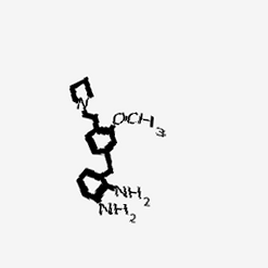 COc1cc(Cc2cccc(N)c2N)ccc1CCN1CCCC1